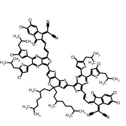 CC(C)CCCC(C)CCC1(CCC(C)CCCC(C)C)Oc2cc(-c3sc(/C=C/C=C4\C(=O)c5cc(Cl)c(Cl)cc5C4=C(C#N)C#N)c4nc(-c5cc(Cl)c(CC(C)C)s5)c(-c5cc(Cl)c(CC(C)C)s5)nc34)sc2-c2sc(-c3sc(/C=C/C=C4\C(=O)c5cc(Cl)c(Cl)cc5C4=C(C#N)C#N)c4nc(-c5cc(Cl)c(CC(C)C)s5)c(-c5cc(Cl)c(CC(C)C)s5)nc34)cc21